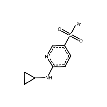 CC(C)S(=O)(=O)c1ccc(NC2CC2)nc1